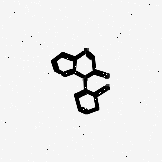 O=c1cnc2ccccc2n1C1=CC=CCC1=S